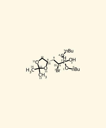 CCCCO[PH](O)(OCCCC)[C@@H](Br)C[C@H]1COC(C)(C)O1